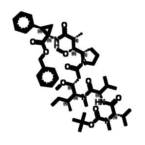 CC[C@H](C)[C@@H]([C@@H](CC(=O)N1CCC[C@H]1[C@H](OC)[C@@H](C)C(=O)N[C@@]1(C(=O)OCc2ccccc2)C[C@@H]1c1ccccc1)OC)N(C)C(=O)[C@@H](NC(=O)[C@H](C(C)C)N(C)C(=O)OC(C)(C)C)C(C)C